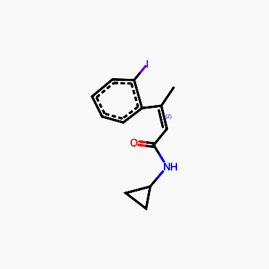 C/C(=C/C(=O)NC1CC1)c1ccccc1I